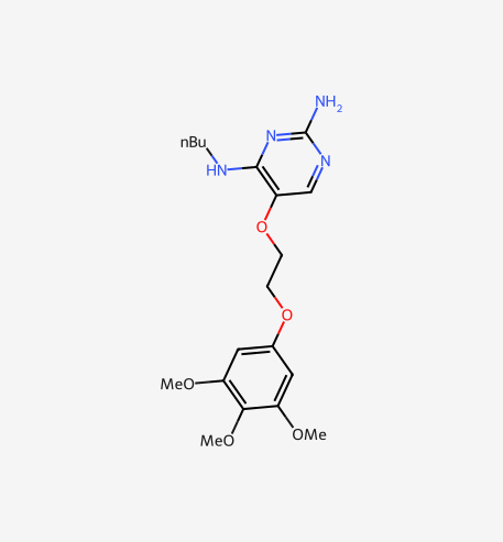 CCCCNc1nc(N)ncc1OCCOc1cc(OC)c(OC)c(OC)c1